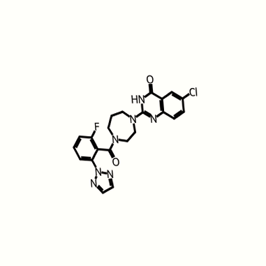 O=C(c1c(F)cccc1-n1nccn1)N1CCCN(c2nc3ccc(Cl)cc3c(=O)[nH]2)CC1